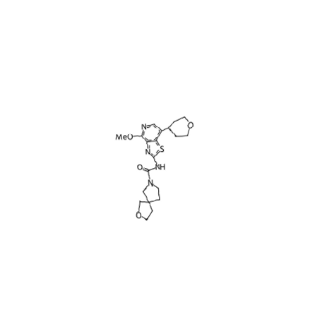 COc1ncc(C2CCOCC2)c2sc(NC(=O)N3CCC4(CCOC4)C3)nc12